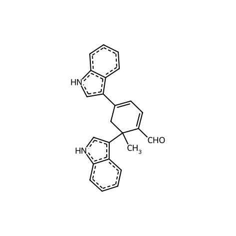 CC1(c2c[nH]c3ccccc23)CC(c2c[nH]c3ccccc23)=CC=C1C=O